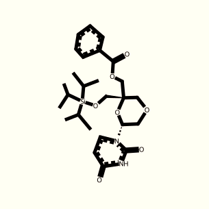 CC(C)[Si](OC[C@@]1(COC(=O)c2ccccc2)COC[C@H](n2ccc(=O)[nH]c2=O)O1)(C(C)C)C(C)C